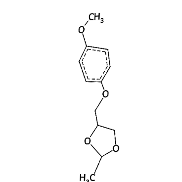 COc1ccc(OCC2COC(C)O2)cc1